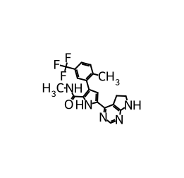 CNC(=O)c1[nH]c(-c2ncnc3c2CCN3)cc1-c1cc(C(F)(F)F)ccc1C